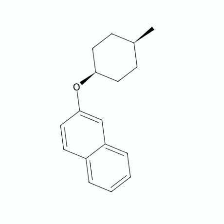 C[C@H]1CC[C@@H](Oc2ccc3ccccc3c2)CC1